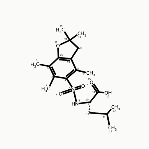 Cc1c(C)c(S(=O)(=O)N[C@@H](CC(C)C)C(=O)O)c(C)c2c1OC(C)(C)C2